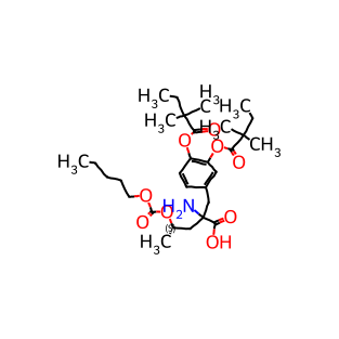 CCCCCOC(=O)O[C@@H](C)CC(N)(Cc1ccc(OC(=O)C(C)(C)CC)c(OC(=O)C(C)(C)CC)c1)C(=O)O